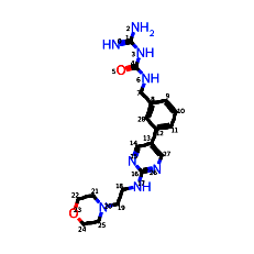 N=C(N)NC(=O)NCc1cccc(-c2cnc(NCCN3CCOCC3)nc2)c1